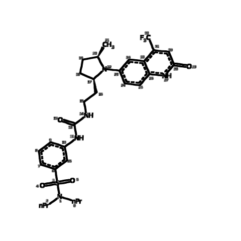 CCCN(CCC)S(=O)(=O)c1cccc(NC(=O)NCC[C@H]2CC[C@@H](C)N2c2ccc3[nH]c(=O)cc(C(F)(F)F)c3c2)c1